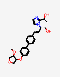 COC1COC[C@@H]1Oc1ccc(-c2ccc(/C=C/[C@@H](CO)n3ccnc3[C@H](C)O)cc2)cc1